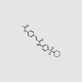 CC(=O)Oc1ccc(/C=C/C(=O)Nc2ccc(S(=O)(=O)N3CCCCC3)cc2)cc1